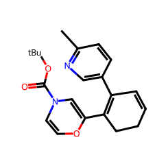 Cc1ccc(C2=C(C3=CN(C(=O)OC(C)(C)C)C=CO3)CCC=C2)cn1